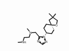 CNCCN(C)Cc1ncnn1[C@H]1CC[C@]2(CC1)CC(C)(C)CO2